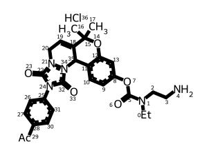 CCN(CCN)C(=O)Oc1ccc2c(c1)OC(C)(C)C1=CCn3c(=O)n(-c4ccc(C(C)=O)cc4)c(=O)n3C12.Cl